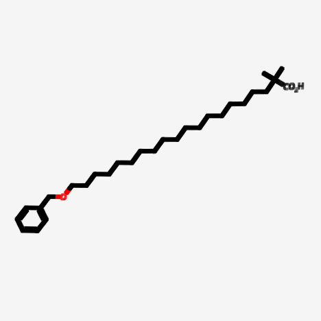 CC(C)(CCCCCCCCCCCCCCCCCCOCc1ccccc1)C(=O)O